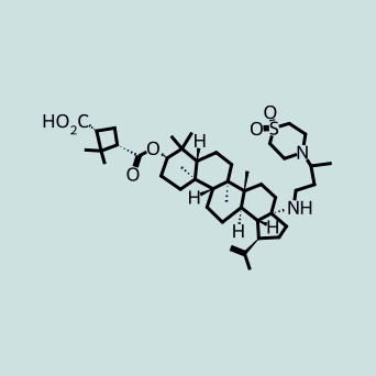 C=C(C)[C@@H]1CC[C@]2(NCCC(C)N3CCS(=O)(=O)CC3)CC[C@]3(C)[C@H](CC[C@@H]4[C@@]5(C)CC[C@H](OC(=O)[C@H]6C[C@@H](C(=O)O)C6(C)C)C(C)(C)[C@@H]5CC[C@]43C)[C@@H]12